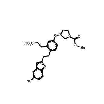 CCOC(=O)CCc1cc(O[C@H]2CCN(C(=O)OC(C)(C)C)C2)ccc1CCc1cc2cc(C#N)ccc2s1